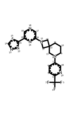 FC(F)(F)c1ccc(N2CCCC3(C2)CN(c2cncc(-c4nncs4)n2)C3)cn1